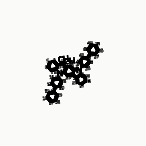 CC1(C)c2ccccc2N(C2=CCC(c3ccccc3)C=C2)c2cc3c4ccccc4n(-c4ccc(-c5ccccc5)cc4)c3cc21